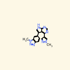 Cn1cc(-c2ncnc3[nH]cc(-c4ccc5nnn(C)c5c4)c23)cn1